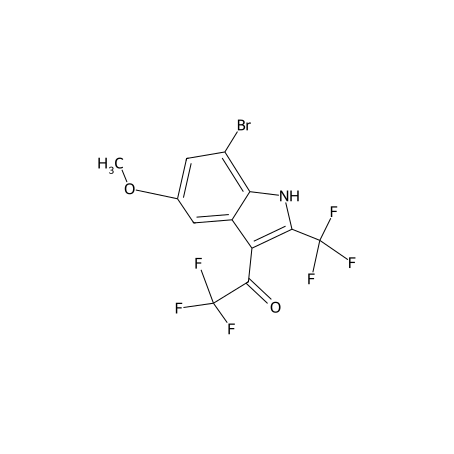 COc1cc(Br)c2[nH]c(C(F)(F)F)c(C(=O)C(F)(F)F)c2c1